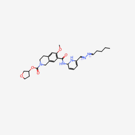 CCCC/C=N/N=C/C1=CC=CC(NC(=O)c2cc3c(cc2OC)CCN(C(=O)OC2CCOC2)C3)N1